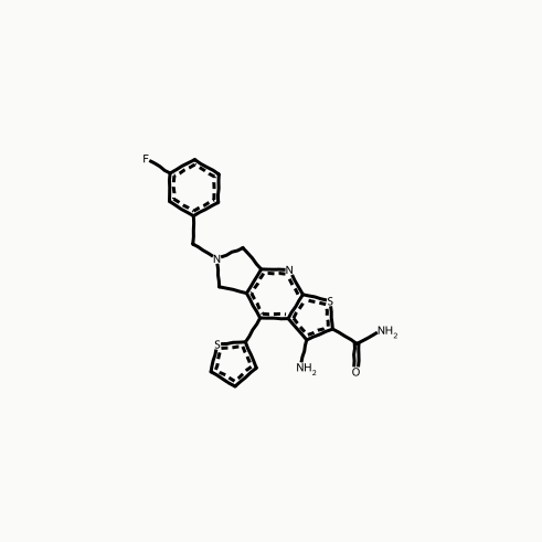 NC(=O)c1sc2nc3c(c(-c4cccs4)c2c1N)CN(Cc1cccc(F)c1)C3